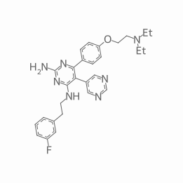 CCN(CC)CCOc1ccc(-c2nc(N)nc(NCCc3cccc(F)c3)c2-c2cncnc2)cc1